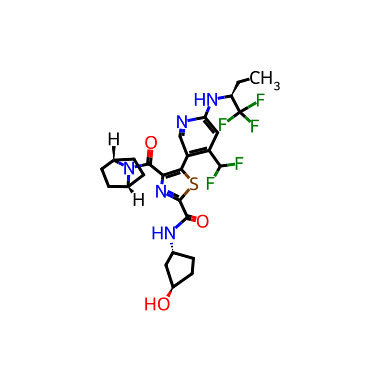 CC[C@H](Nc1cc(C(F)F)c(-c2sc(C(=O)N[C@@H]3CC[C@@H](O)C3)nc2C(=O)N2[C@H]3CC[C@@H]2CC3)cn1)C(F)(F)F